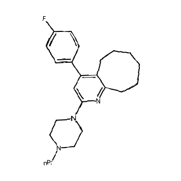 CCCN1CCN(c2cc(-c3ccc(F)cc3)c3c(n2)CCCCCC3)CC1